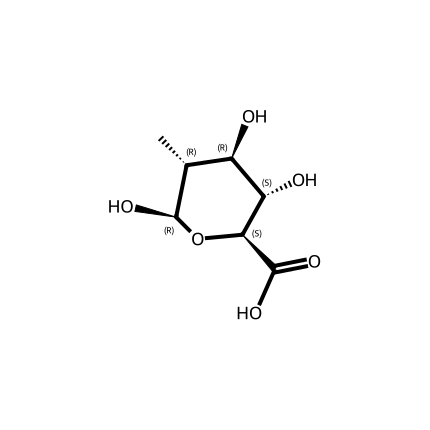 C[C@@H]1[C@@H](O)[C@H](O)[C@@H](C(=O)O)O[C@H]1O